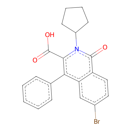 O=C(O)c1c(-c2ccccc2)c2cc(Br)ccc2c(=O)n1C1CCCC1